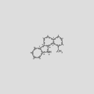 Cc1cccc2ccc3c4ccccc4[nH]c3c12